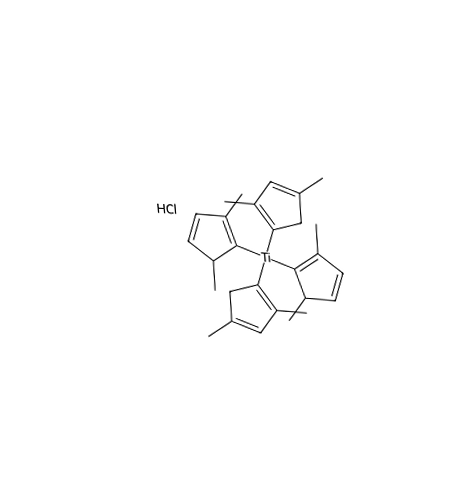 CC1=CC(C)=[C]([Ti]([C]2=C(C)C=C(C)C2)([C]2=C(C)C=CC2C)[C]2=C(C)C=CC2C)C1.Cl